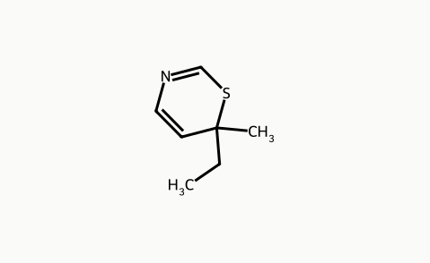 CCC1(C)C=CN=CS1